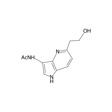 CC(=O)Nc1c[nH]c2ccc(CCO)nc12